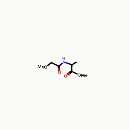 COCC(=O)NC(C)C(=O)OC